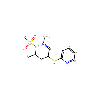 CO/N=C/C(CC(C)OS(C)(=O)=O)Sc1ccccn1